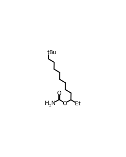 CCC(CCCCCCCCC(C)(C)C)OC(N)=O